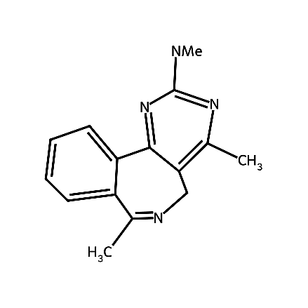 CNc1nc(C)c2c(n1)-c1ccccc1C(C)=NC2